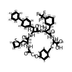 O=C1COc2ccc(cc2)C[C@@H](C(=O)O)NC(=O)[C@@H](Cc2cccc(C(F)(F)F)c2)NC(=O)[C@H](Cc2ccc(-c3ccccc3)cc2)NC(=O)[C@@H](CC2CC=CS2)N1